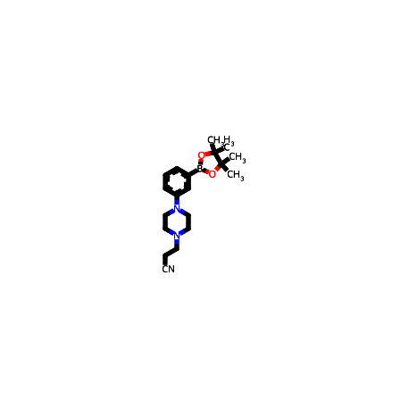 CC1(C)OB(c2cccc(N3CCN(CCC#N)CC3)c2)OC1(C)C